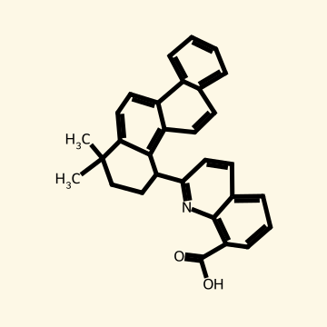 CC1(C)CCC(c2ccc3cccc(C(=O)O)c3n2)c2c1ccc1c2ccc2ccccc21